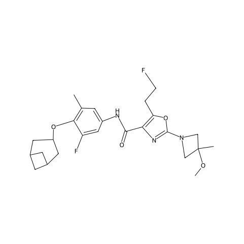 COC1(C)CN(c2nc(C(=O)Nc3cc(C)c(OC4CC5CC(C5)C4)c(F)c3)c(CCF)o2)C1